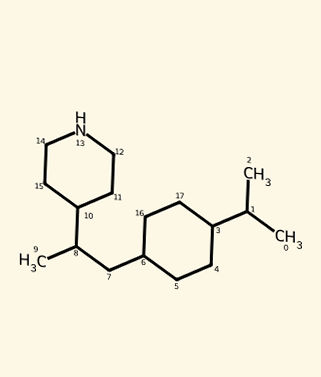 CC(C)C1CCC(CC(C)C2CCNCC2)CC1